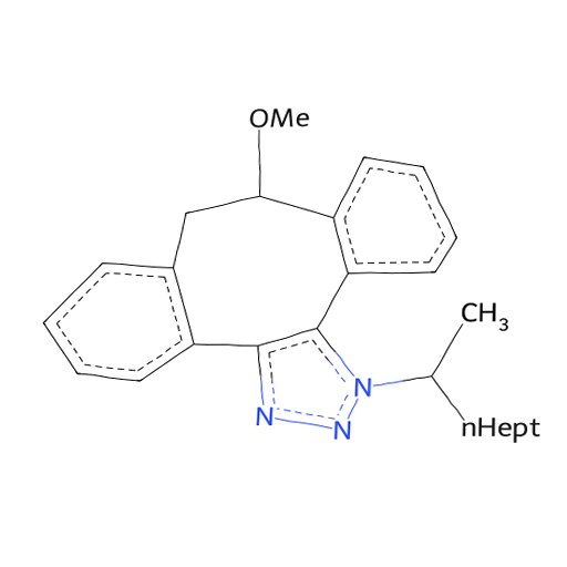 CCCCCCCC(C)n1nnc2c1-c1ccccc1C(OC)Cc1ccccc1-2